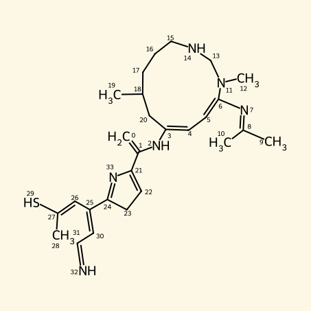 C=C(N/C1=C/C=C(/N=C(C)C)N(C)CNCCCC(C)C1)C1=CCC(C(/C=C(\C)S)=C/C=N)=N1